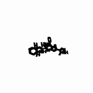 Cc1[nH]ncc1-c1cc2nc([C@@H]3C[C@@H]4CCCC[C@@H]4N3)[nH]c(=O)c2s1